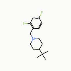 CC(C)(C)C1CCN(Cc2ccc(F)cc2F)CC1